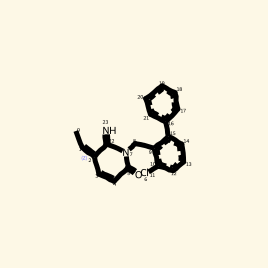 C/C=C1/C=CC(=O)N(Cc2c(Cl)cccc2-c2ccccc2)C1=N